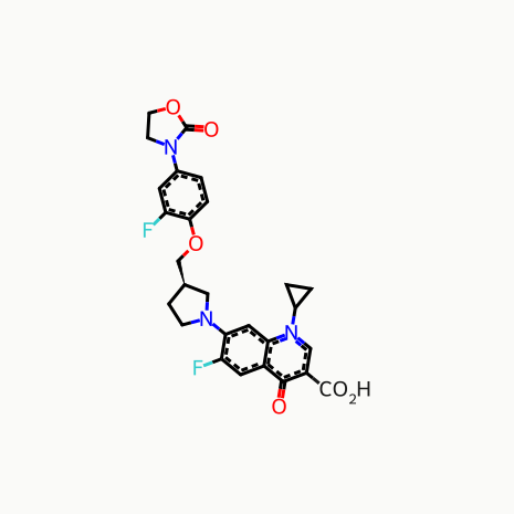 O=C(O)c1cn(C2CC2)c2cc(N3CC[C@@H](COc4ccc(N5CCOC5=O)cc4F)C3)c(F)cc2c1=O